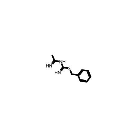 CC(=N)NC(=N)SCc1ccccc1